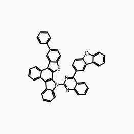 c1ccc(-c2ccc3sc4c(c3c2)c2ccccc2c2c3ccccc3n(-c3nc(-c5ccc6oc7ccccc7c6c5)c5ccccc5n3)c42)cc1